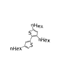 CCCCCCc1csc(-c2sc(CCCCCC)cc2CCCCCC)c1